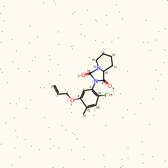 C=CCOc1cc(N2C(=O)C3CCCCN3C2=O)c(F)cc1C